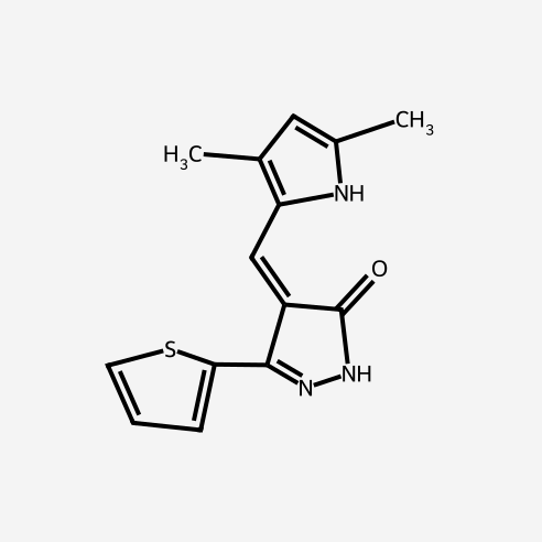 Cc1cc(C)c(C=C2C(=O)NN=C2c2cccs2)[nH]1